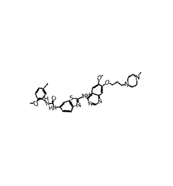 COc1ccc(C)cc1NC(=O)Nc1ccc2nc(Nc3ncnc4cc(OCCCN5CCN(C)CC5)c(OC)cc34)sc2c1